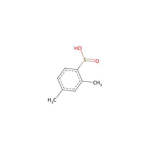 Cc1ccc(S(=O)O)c(C)c1